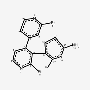 CCc1cc(-c2ccnc(CC)c2-c2ccc(N)nc2C)ccn1